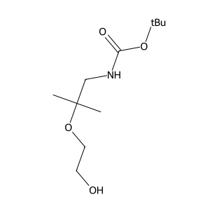 CC(C)(C)OC(=O)NCC(C)(C)OCCO